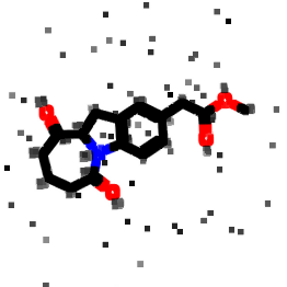 COC(=O)Cc1ccc2c(c1)CC1C(=O)CCCC(=O)N21